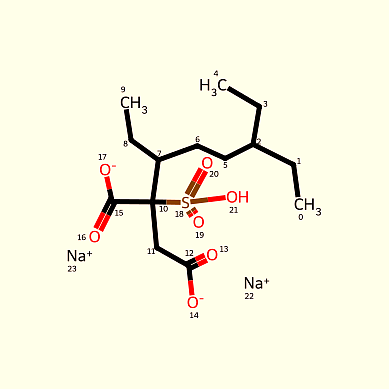 CCC(CC)CCC(CC)C(CC(=O)[O-])(C(=O)[O-])S(=O)(=O)O.[Na+].[Na+]